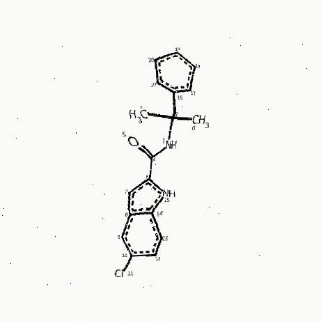 CC(C)(NC(=O)c1cc2cc(Cl)ccc2[nH]1)c1ccccc1